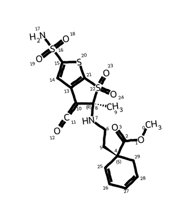 COC(=O)[C@@]1(CCN[C@@]2(C)C(=C=O)c3cc(S(N)(=O)=O)sc3S2(=O)=O)C=CC=CC1